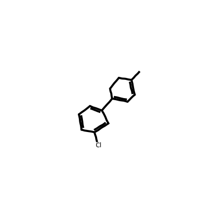 CC1=CC=C(c2cccc(Cl)c2)CC1